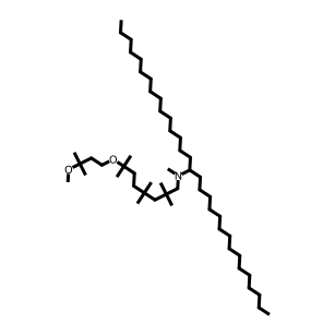 CCCCCCCCCCCCCCCC(CCCCCCCCCCCCCCC)N(C)CC(C)(C)CC(C)(C)CCC(C)(C)OCCC(C)(C)OC